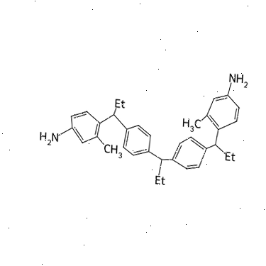 CCC(c1ccc(C(CC)c2ccc(N)cc2C)cc1)c1ccc(C(CC)c2ccc(N)cc2C)cc1